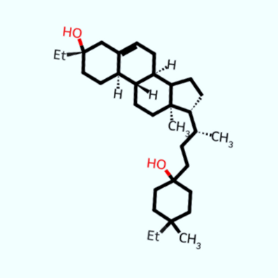 CCC1(C)CCC(O)(CC[C@@H](C)[C@H]2CCC3[C@@H]4CC=C5C[C@](O)(CC)CC[C@@H]5[C@H]4CC[C@@]32C)CC1